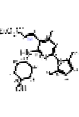 CCOC(=O)/C=C/c1c(C)cc(-n2c(C)ccc2C)nc1N[C@H]1CC[C@H](O)CC1